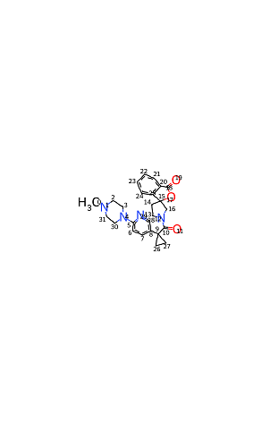 CN1CCN(c2ccc(C3(C(=O)N4CCC5(C4)OC(=O)c4ccccc45)CC3)cn2)CC1